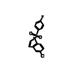 O=S(=O)(c1ccc(F)cc1)n1ccc2cc(Cl)ccc21